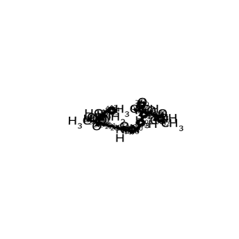 CCN(c1cc(-c2ccc(CN3CCN(CC(=O)NCCCCCCNC(=O)[C@H](CC(C)C)NC(=O)[C@@H](O)C(N)Cc4ccccc4)CC3)cc2)cc(C(=O)NCc2c(C)cc(C)[nH]c2=O)c1C)C1CCOCC1